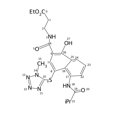 CCOC(=O)CCNC(=O)c1cc(Sc2nnnn2C)c2c(NC(=O)C(C)C)cccc2c1O